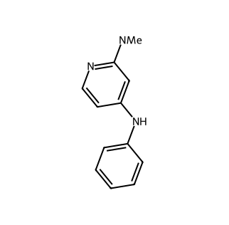 CNc1cc(Nc2ccccc2)ccn1